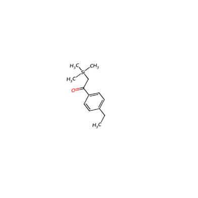 CCc1ccc(C(=O)C[Si](C)(C)C)cc1